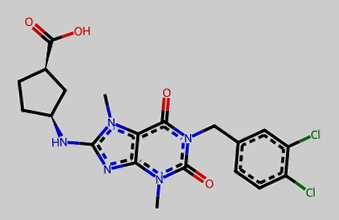 Cn1c(N[C@H]2CC[C@@H](C(=O)O)C2)nc2c1c(=O)n(Cc1ccc(Cl)c(Cl)c1)c(=O)n2C